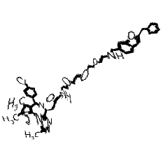 Cc1sc2c(c1C)C(c1ccc(Cl)cc1)=N[C@@H](CC(=O)NCCOCCOCCOCCNCc1ccc3cc(Cc4ccccc4)oc3c1)c1nnc(C)n1-2